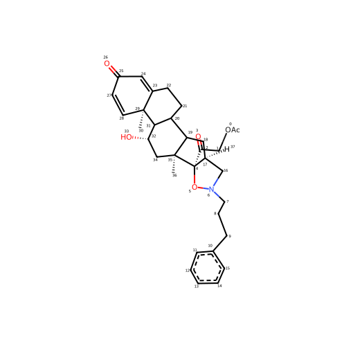 CC(=O)OCC(=O)[C@@]12ON(CCCc3ccccc3)C[C@@H]1CC1C3CCC4=CC(=O)C=C[C@]4(C)C3[C@@H](O)C[C@@]12C